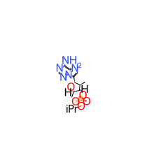 CC(C)O[P@]1(=O)OC[C@H]2O[C@@H](c3cnc4c(N)ncnn34)[C@@H](C)[C@@H]2O1